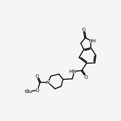 CC(C)(C)OC(=O)N1CCC(CNC(=O)c2ccc3c(c2)CC(=O)N3)CC1